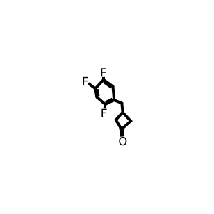 O=C1CC(Cc2cc(F)c(F)cc2F)C1